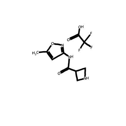 Cc1cc(NC(=O)C2CNC2)no1.O=C(O)C(F)(F)F